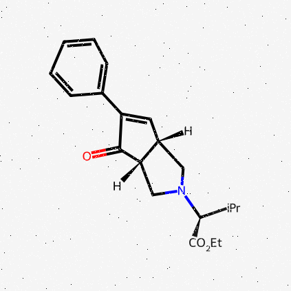 CCOC(=O)[C@H](C(C)C)N1C[C@H]2C=C(c3ccccc3)C(=O)[C@H]2C1